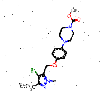 CCOC(=O)c1nn(C)c(COc2ccc(N3CCN(C(=O)OC(C)(C)C)CC3)cc2)c1Br